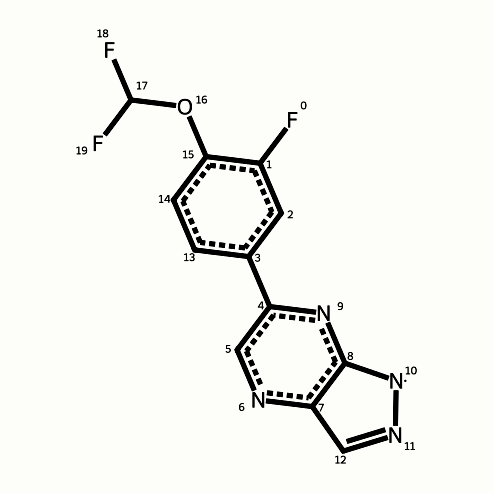 Fc1cc(-c2cnc3c(n2)[N]N=C3)ccc1OC(F)F